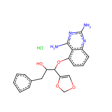 Cl.Nc1nc(N)c2c(OC(C3=COCO3)C(O)Cc3ccccc3)cccc2n1